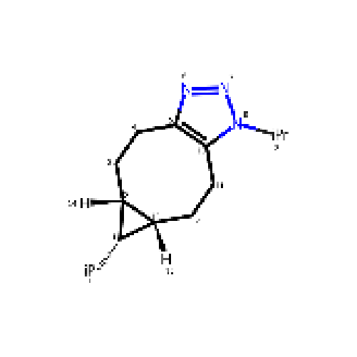 CC(C)[C@@H]1[C@@H]2CCc3nnn(C(C)C)c3CC[C@@H]21